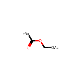 CC(=O)OCOC(=O)C(C)(C)C